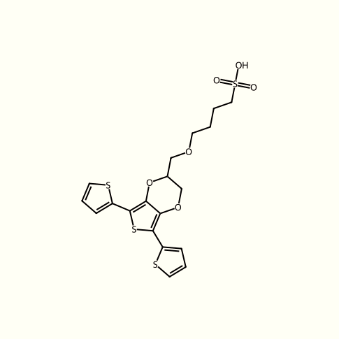 O=S(=O)(O)CCCCOCC1COc2c(-c3cccs3)sc(-c3cccs3)c2O1